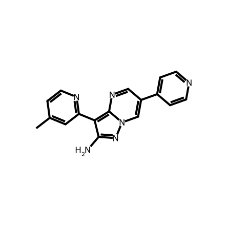 Cc1ccnc(-c2c(N)nn3cc(-c4ccncc4)cnc23)c1